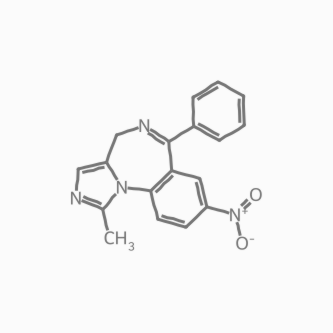 Cc1ncc2n1-c1ccc([N+](=O)[O-])cc1C(c1ccccc1)=NC2